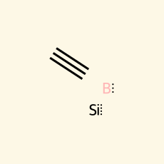 C#C.[B].[Si]